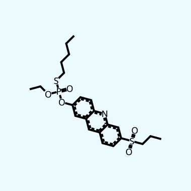 CCCCCSP(=O)(OCC)Oc1ccc2nc3cc(S(=O)(=O)CCC)ccc3cc2c1